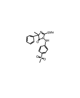 CSC1=NC(C)(c2ccccc2)C(=O)N1Nc1ccc(S(C)(=O)=O)cc1